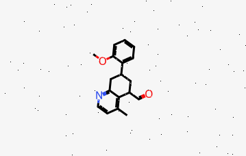 COc1ccccc1C1Cc2nccc(C)c2C(C=O)C1